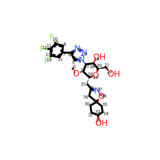 CO[C@@H]1[C@@H](n2cc(-c3cc(F)c(F)c(F)c3)nn2)[C@@H](O)[C@@H](CO)O[C@@H]1CC1=NOC2(CCC(O)CC2)C1